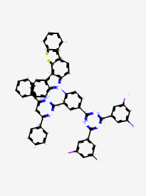 CCCCc1cc(I)cc(-c2nc(-c3cc(I)cc(I)c3)nc(-c3ccc(-n4c5ccccc5c5c6sc7ccccc7c6ccc54)c(-c4nc(-c5ccccc5)cc(-c5ccccc5)n4)c3)n2)c1